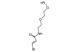 CCCOCCOCCNC(=O)/C=C/Br